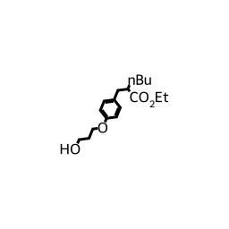 CCCCC(Cc1ccc(OCCCO)cc1)C(=O)OCC